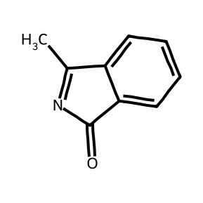 CC1=NC(=O)c2ccccc21